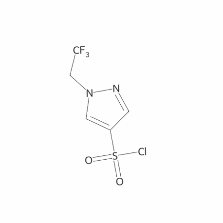 O=S(=O)(Cl)c1cnn(CC(F)(F)F)c1